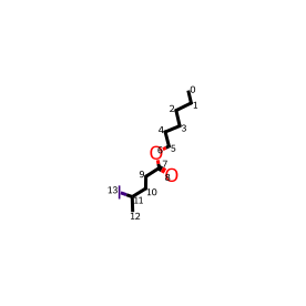 CCCCCCOC(=O)CCC(C)I